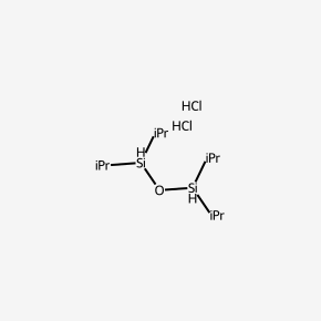 CC(C)[SiH](O[SiH](C(C)C)C(C)C)C(C)C.Cl.Cl